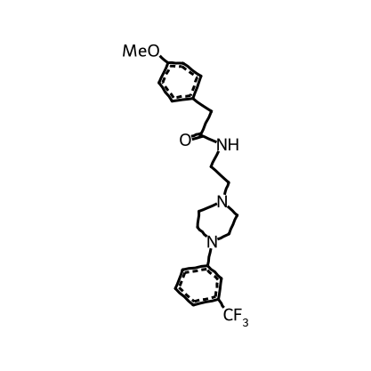 COc1ccc(CC(=O)NCCN2CCN(c3cccc(C(F)(F)F)c3)CC2)cc1